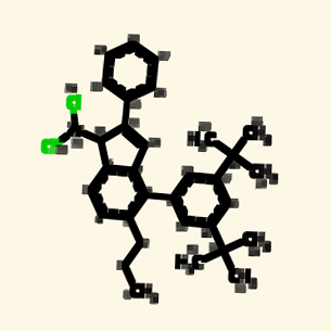 CCCc1ccc2c(c1-c1cc(C(C)(C)C)cc(C(C)(C)C)c1)C=C(c1ccccc1)[CH]2[Zr]([Cl])[Cl]